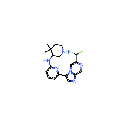 CC1(C)CCNCC1Nc1cccc(-c2cnc3cnc(C(F)F)cn23)n1